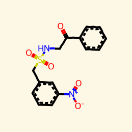 O=C(CNS(=O)(=O)Cc1cccc([N+](=O)[O-])c1)c1ccccc1